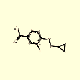 O=C(O)c1ccc(OCC2CC2)c(I)c1